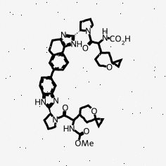 COC(=O)NC(C(=O)N1CCC[C@H]1c1nc2cc(-c3ccc4c(c3)CCc3nc([C@@H]5CCCN5C(=O)C(NC(=O)O)C5CCOC6(CC6)C5)[nH]c3-4)ccc2[nH]1)C1CCOC2(CC2)C1